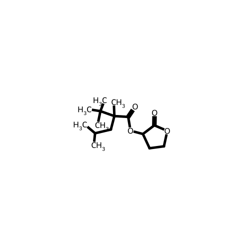 CC(C)CC(C)(C(=O)OC1CCOC1=O)C(C)(C)C